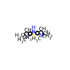 CCN1c2cc3c(cc2C(C)CC1(C)C)Nc1cc2c(cc1S3)N(CC)C(C)(C)CC2C